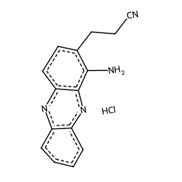 Cl.N#CCCc1ccc2nc3ccccc3nc2c1N